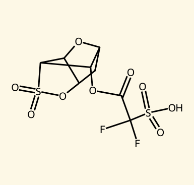 O=C(OC1C2CC3OS(=O)(=O)C1C3O2)C(F)(F)S(=O)(=O)O